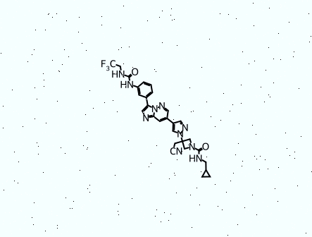 N#CCC1(n2cc(-c3cnn4c(-c5cccc(NC(=O)NCC(F)(F)F)c5)cnc4c3)cn2)CN(C(=O)NCC2CC2)C1